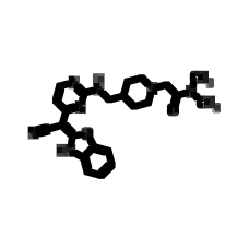 CN(C)C(=O)CN1CCC(CNc2nccc(C(C#N)=C3Nc4ccccc4O3)n2)CC1